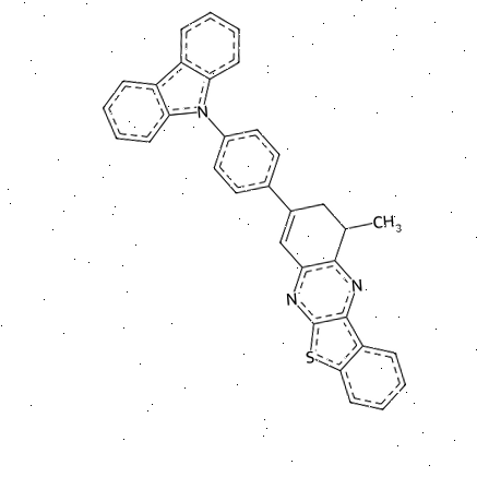 CC1CC(c2ccc(-n3c4ccccc4c4ccccc43)cc2)=Cc2nc3sc4ccccc4c3nc21